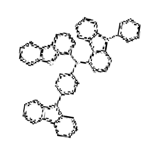 c1ccc(-n2c3ccccc3c3c(N(c4ccc(-n5c6ccccc6c6ccccc65)cc4)c4cccc5c4oc4ccccc45)cccc32)cc1